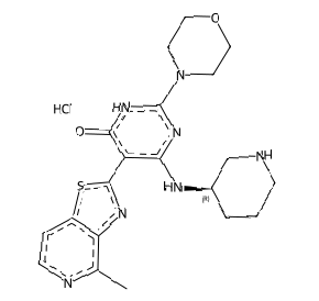 Cc1nccc2sc(-c3c(N[C@@H]4CCCNC4)nc(N4CCOCC4)[nH]c3=O)nc12.Cl